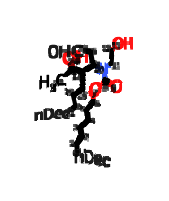 CCCCCCCCCCCCCCCCOC(=O)N(CCO)C(CC=O)C(CCCCCCCCCCCCC)C(C)O